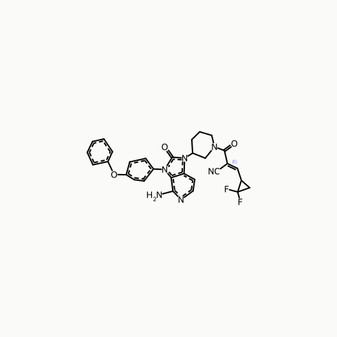 N#C/C(=C\C1CC1(F)F)C(=O)N1CCCC(n2c(=O)n(-c3ccc(Oc4ccccc4)cc3)c3c(N)nccc32)C1